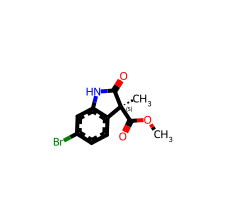 COC(=O)[C@]1(C)C(=O)Nc2cc(Br)ccc21